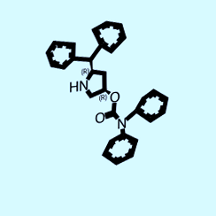 O=C(O[C@H]1CN[C@@H](C(c2ccccc2)c2ccccc2)C1)N(c1ccccc1)c1ccccc1